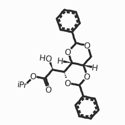 CC(C)OC(=O)[C@@H](O)[C@H]1OC(c2ccccc2)O[C@H]2COC(c3ccccc3)O[C@@H]12